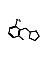 Cc1cccc(N)c1CN1CCCC1